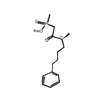 COP(C)(=O)CC(=O)[C@@H](C)CCCCc1ccccc1